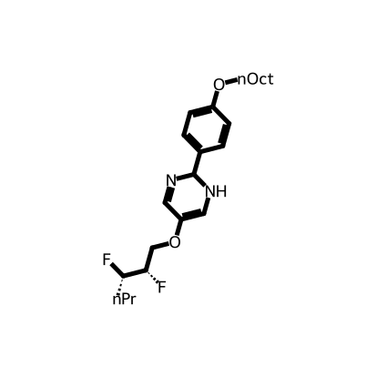 CCCCCCCCOc1ccc(C2N=CC(OC[C@H](F)[C@@H](F)CCC)=CN2)cc1